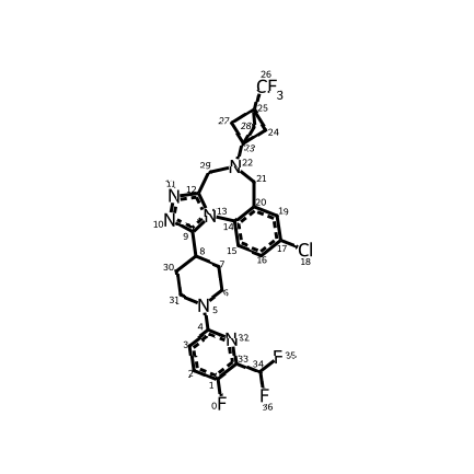 Fc1ccc(N2CCC(c3nnc4n3-c3ccc(Cl)cc3CN(C35CC(C(F)(F)F)(C3)C5)C4)CC2)nc1C(F)F